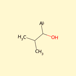 CC(C)[CH](O)[Al]